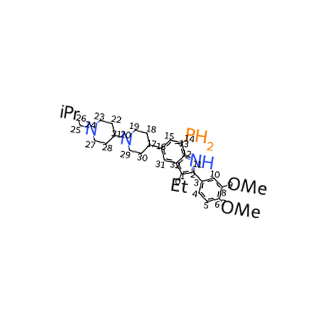 CCc1c(-c2ccc(OC)c(OC)c2)[nH]c2c(P)cc(C3CCN(C4CCN(CC(C)C)CC4)CC3)cc12